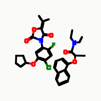 CC(C)=C1OC(=O)N(c2cc(OC3CCCC3)c(Cl)cc2F)C1=O.CCN(CC)C(=O)C(C)Oc1cccc2ccccc12